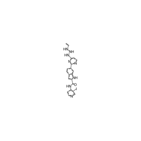 C=CNNNc1ccnc(-c2ccc3cc(C(=O)Nc4ccncc4I)[nH]c3c2)n1